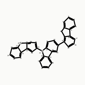 c1ccc2c(c1)Cc1c(-c3ccc4c(c3)c3ccccc3n4-c3ccc4sc5ccccc5c4c3)cccc1-2